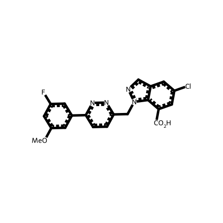 COc1cc(F)cc(-c2ccc(Cn3ncc4cc(Cl)cc(C(=O)O)c43)nn2)c1